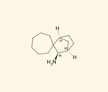 N[C@@H]1[C@@H]2CC[C@@H](C2)C12CCCCCC2